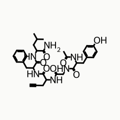 C#CCC(NC(=O)CNC(=O)C(Cc1ccc(O)cc1)NC(C)=O)C(=O)NC(Cc1ccccc1)C(=O)NC(CC(C)C)C(N)=O